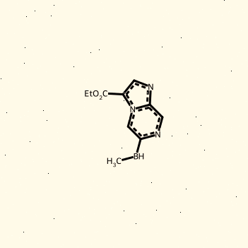 CBc1cn2c(C(=O)OCC)cnc2cn1